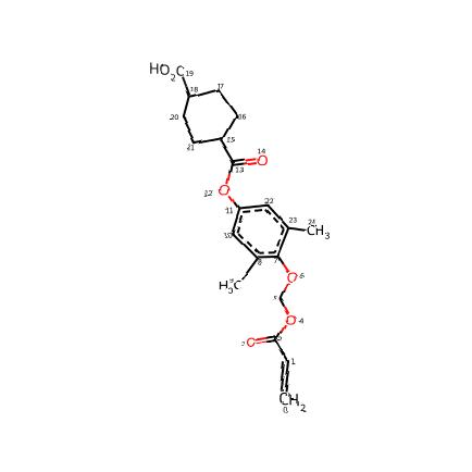 C=CC(=O)OCOc1c(C)cc(OC(=O)C2CCC(C(=O)O)CC2)cc1C